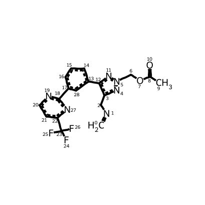 C=NCc1nn(COC(C)=O)nc1-c1cccc(-c2nccc(C(F)(F)F)n2)c1